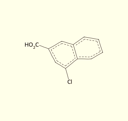 O=C(O)c1cc(Cl)c2ccccc2c1